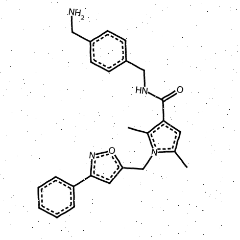 Cc1cc(C(=O)NCc2ccc(CN)cc2)c(C)n1Cc1cc(-c2ccccc2)no1